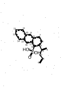 C=CCC(=C)c1ccc2cc3ccccc3cc2c1P(=O)(O)O